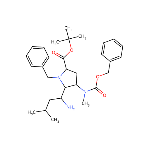 CC(C)CC(N)C1C(N(C)C(=O)OCc2ccccc2)CC(C(=O)OC(C)(C)C)N1Cc1ccccc1